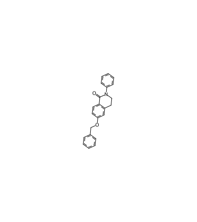 O=C1c2ccc(OCc3ccccc3)cc2CCN1c1ccccc1